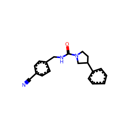 N#Cc1ccc(CNC(=O)N2CCC(c3ccccc3)C2)cc1